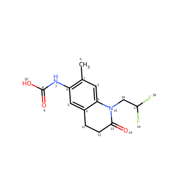 Cc1cc2c(cc1NC(=O)O)CCC(=O)N2CC(F)F